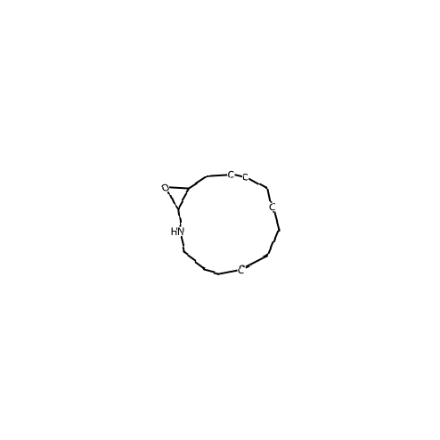 C1CCCCCNC2OC2CCCCC1